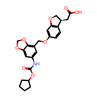 O=C(O)C[C@@H]1COc2cc(OCc3cc(NC(=O)OC4CCCC4)cc4c3OCO4)ccc21